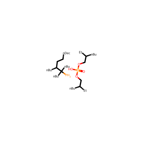 CCCCC(CC)COP(=O)(O)OCC(CC)CCCC.CCCCCCCCCCCCC(CCCC)C(P)(CCCC)CCCC